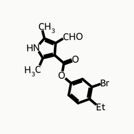 CCc1ccc(OC(=O)c2c(C)[nH]c(C)c2C=O)cc1Br